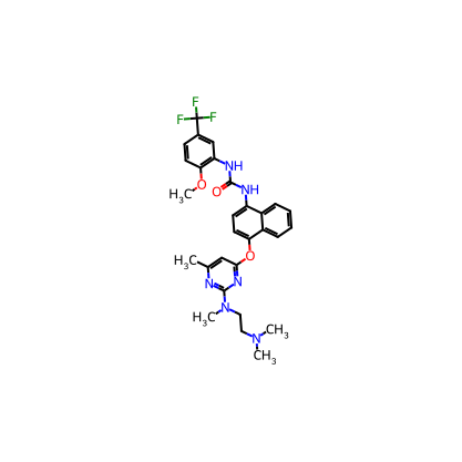 COc1ccc(C(F)(F)F)cc1NC(=O)Nc1ccc(Oc2cc(C)nc(N(C)CCN(C)C)n2)c2ccccc12